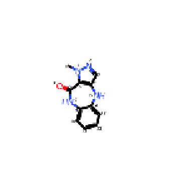 Cn1ncc2c1C(=O)Nc1ccccc1N2